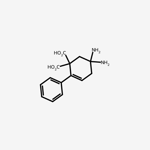 NC1(N)CC=C(c2ccccc2)C(C(=O)O)(C(=O)O)C1